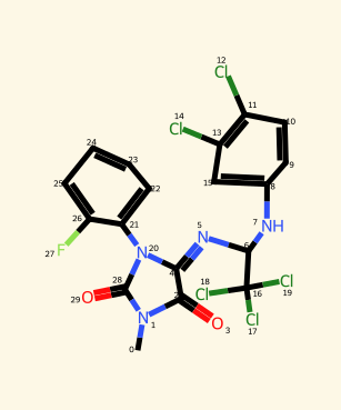 CN1C(=O)C(=NC(Nc2ccc(Cl)c(Cl)c2)C(Cl)(Cl)Cl)N(c2ccccc2F)C1=O